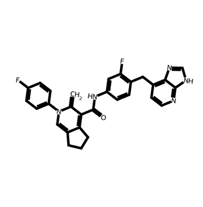 C=C1C(C(=O)Nc2ccc(Cc3ccnc4[nH]cnc34)c(F)c2)=C2CCCC2=CN1c1ccc(F)cc1